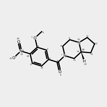 COc1cc(C(=O)N2CCN3CCC[C@@H]3C2)ccc1[N+](=O)[O-]